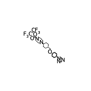 O=C(OC(C(F)(F)F)C(F)(F)F)N1CCN([C@H]2CC[C@H](COc3ccc(-n4cncn4)cc3)CC2)CC1